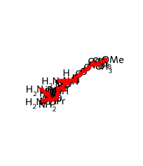 COCCOC(=O)C(C)(C)CC(C)C(=O)NCCOCCOCCOCCn1cc(CCC(=O)N[C@@H](CCCCN)C(=O)C(=O)[C@@H]2CCCN2C(=O)[C@H](CC(C)C)NNCC(=O)C(=O)[C@@H](NC(=O)[C@H](CCCNC(N)N)NC(=O)[C@H](CCCCN)NO)C(C)C)nn1